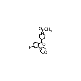 CC(=O)N1CCC(C(=O)c2ccc(F)cc2N2CCOCC2)CC1